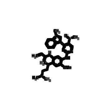 C=CC(=O)Nc1cc(Nc2ncc([S+](C)[O-])c(-c3cn(C)c4ccccc34)n2)c(OC)cc1N(C)CCN(C)C